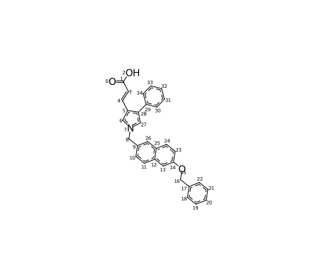 O=C(O)/C=C/c1cn(Cc2ccc3cc(OCc4ccccc4)ccc3c2)cc1-c1ccccc1